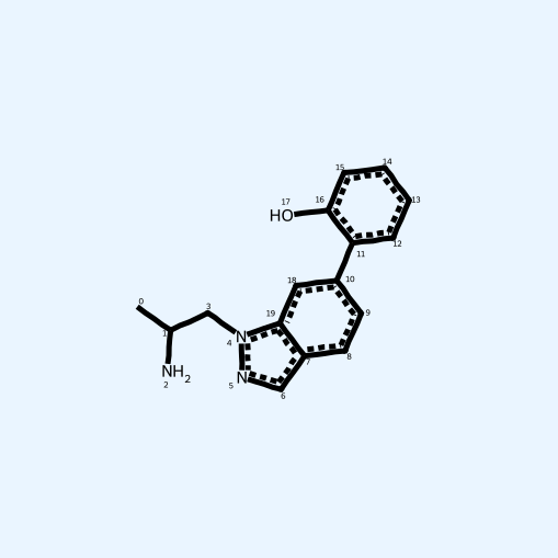 CC(N)Cn1ncc2ccc(-c3ccccc3O)cc21